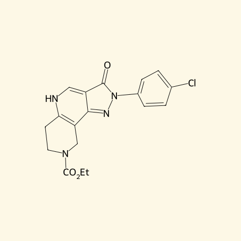 CCOC(=O)N1CCc2[nH]cc3c(=O)n(-c4ccc(Cl)cc4)nc-3c2C1